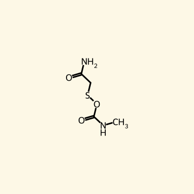 CNC(=O)OSCC(N)=O